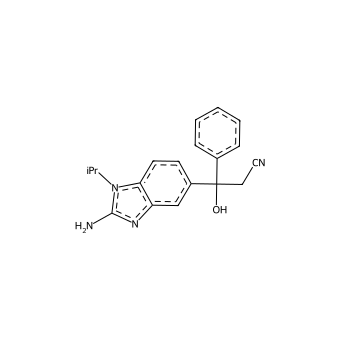 CC(C)n1c(N)nc2cc(C(O)(CC#N)c3ccccc3)ccc21